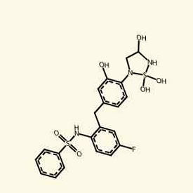 O=S(=O)(Nc1ccc(F)cc1Cc1ccc(N2CC(O)NS2(O)O)c(O)c1)c1ccccc1